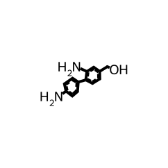 Nc1ccc(-c2ccc(CO)cc2N)cc1